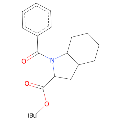 CCC(C)OC(=O)C1CC2CCCCC2N1C(=O)c1ccccc1